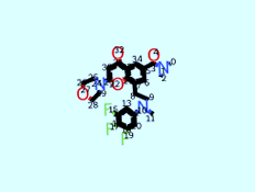 CN(C)C(=O)c1cc(CCN(C)c2cc(F)c(F)c(F)c2)c2oc(N3CCOCC3)cc(=O)c2c1